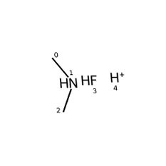 CNC.F.[H+]